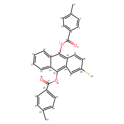 Cc1ccc(C(=O)Oc2c3ccccc3c(OC(=O)c3ccc(C)cc3)c3cc(F)ccc23)cc1